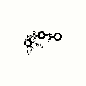 COc1ncnc(NS(=O)(=O)c2ccc(NC(=O)C3CCCCC3)cc2)c1OC